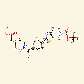 COC(=O)CC1CCN(C(=O)c2ccc(-c3nc4c(s3)CN(C(=O)OC(C)(C)C)CC4)cc2)CC1